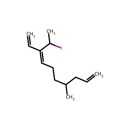 C=CCC(C)CC/C=C(/C=C)C(C)I